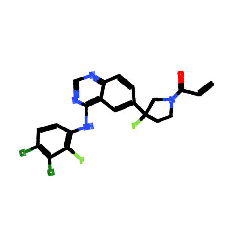 C=CC(=O)N1CCC(F)(c2ccc3ncnc(Nc4ccc(Cl)c(Cl)c4F)c3c2)C1